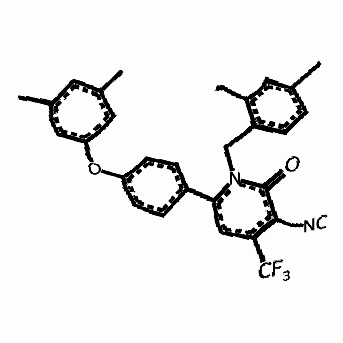 [C-]#[N+]c1c(C(F)(F)F)cc(-c2ccc(Oc3cc(C)cc(C)c3)cc2)n(Cc2ccc(C)cc2C)c1=O